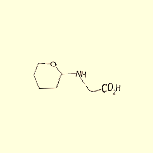 O=C(O)CNC1CCCCO1